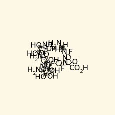 NC[C@H]1O[C@H](O[C@H]2[C@H](O)[C@@H](O[C@H]3O[C@H](CO)[C@@H](O)[C@H](N)[C@H]3O)[C@H](N)C[C@@H]2N)[C@H](O)[C@@H](O)[C@@H]1O.N[C@@H]1[C@H]2CN(c3nc4c(cc3F)c(=O)c(C(=O)O)cn4-c3ccc(F)cc3F)C[C@@H]12